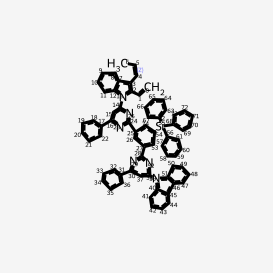 C=Cc1c(/C=C\C)c2ccccc2n1-c1cc(-c2ccccc2)nc(-c2cc(-c3nc(-c4ccccc4)cc(-n4c5ccccc5c5ccccc54)n3)cc([Si](c3ccccc3)(c3ccccc3)c3ccccc3)c2)n1